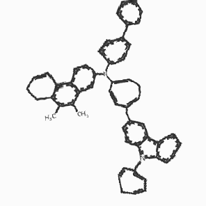 Cc1c2c(c3ccc(N(C4=CCC=C(c5ccc6c(c5)c5ccccc5n6C5=CC=CCC=C5)C=C4)c4ccc(-c5ccccc5)cc4)cc3c1C)C=CCC2